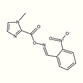 Cn1ccnc1C(=O)ON=Cc1ccccc1[N+](=O)[O-]